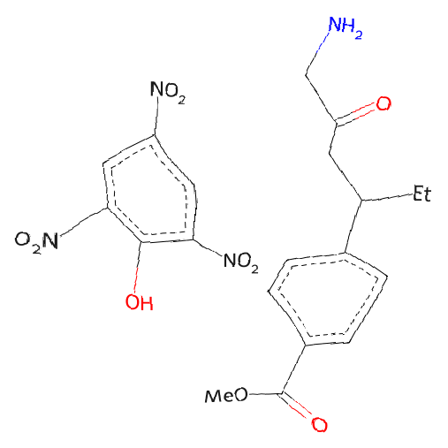 CCC(CC(=O)CN)c1ccc(C(=O)OC)cc1.O=[N+]([O-])c1cc([N+](=O)[O-])c(O)c([N+](=O)[O-])c1